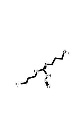 CCCCN=C(NCCCC)NP=O